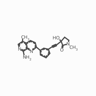 Cc1cnc(N)c2nc(-c3cccc(C#CC4(O)CCN(C)C4=O)c3)ccc12